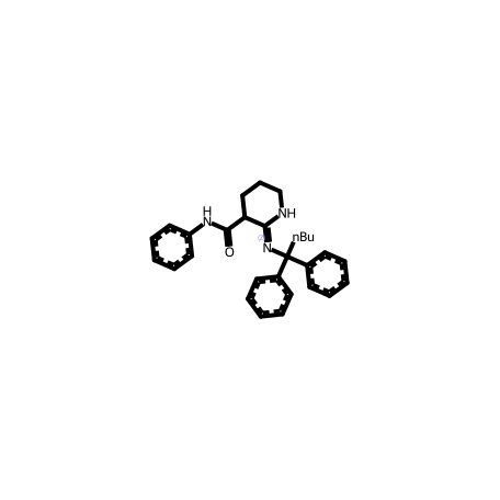 CCCCC(/N=C1\NCCCC1C(=O)Nc1ccccc1)(c1ccccc1)c1ccccc1